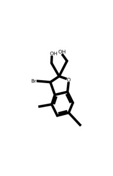 Cc1cc(C)c2c(c1)OC(CO)(CO)C2Br